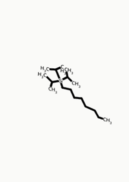 CCCCCCC[CH][Si](C(C)C)(C(C)C)C(C)C